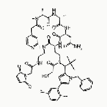 C[C@H](NC(=O)Cc1ccncc1)C(=O)N[C@H](C)C(=O)N[C@@H](CC(N)=O)C(=O)N[C@@H](CCN(C(=O)CO)C(c1cc(-c2cc(F)ccc2F)cn1Cc1ccccc1)C(C)(C)C)C(=O)NCCNC(=O)CN1C(=O)C=CC1=O